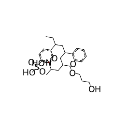 CCC(CC(CC(CC(C)C(=O)O)C(=O)OCCCO)c1ccccc1)c1ccc(S(=O)(=O)O)nc1